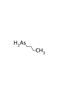 CCCC[AsH2]